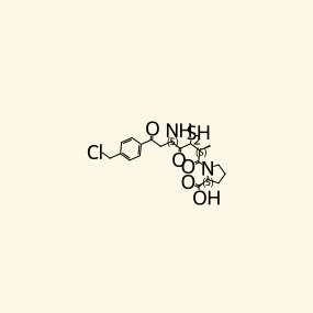 C[C@@H](C(=O)N1CCC[C@H]1C(=O)O)C(S)C(=O)[C@@H](N)CC(=O)c1ccc(CCl)cc1